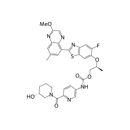 COc1cnc2c(-c3nc4cc(F)c(O[C@@H](C)COC(=O)Nc5ccc(C(=O)N6CCC[C@@H](O)C6)nc5)cc4s3)cc(C)cc2n1